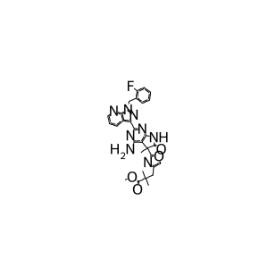 COC(=O)C(C)(C)Cc1coc(C2(C)C(=O)Nc3nc(-c4nn(Cc5ccccc5F)c5ncccc45)nc(N)c32)n1